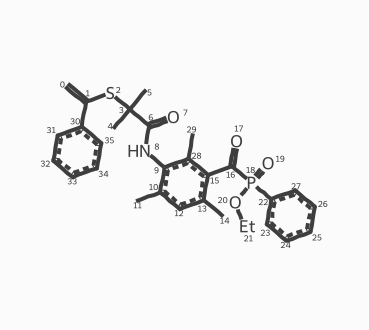 C=C(SC(C)(C)C(=O)Nc1c(C)cc(C)c(C(=O)P(=O)(OCC)c2ccccc2)c1C)c1ccccc1